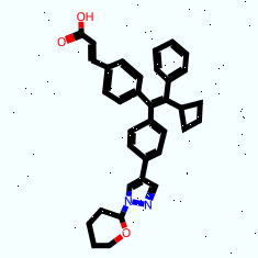 O=C(O)C=Cc1ccc(C(=C(c2ccccc2)C2CCC2)c2ccc(-c3cnn(C4CCCCO4)c3)cc2)cc1